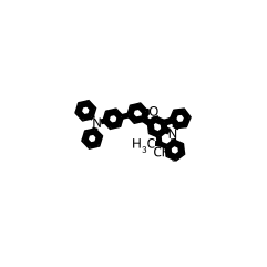 CC1(C)c2ccccc2-n2c3ccccc3c3c4oc5ccc(-c6ccc(N(c7ccccc7)c7ccccc7)cc6)cc5c4cc1c32